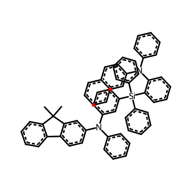 CC1(C)c2ccccc2-c2ccc(N(c3ccccc3)c3cccc([Si](c4ccccc4)(c4ccccc4)c4ccccc4N(c4ccccc4)c4ccc5ccccc5c4)c3)cc21